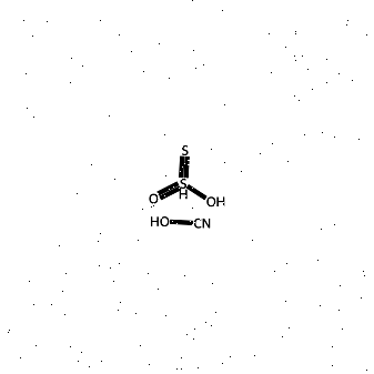 N#CO.O=[SH](O)=S